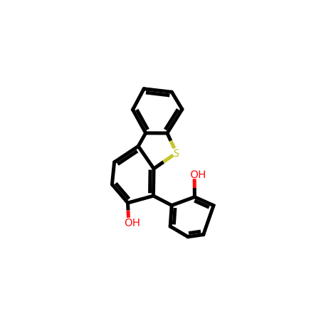 Oc1ccccc1-c1c(O)ccc2c1sc1ccccc12